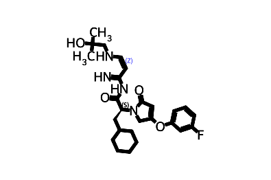 CC(C)(O)CN/C=C\C(=N)NC(=O)[C@H](CC1CCCCC1)N1CC(Oc2cccc(F)c2)=CC1=O